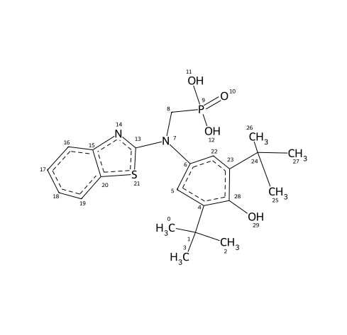 CC(C)(C)c1cc(N(CP(=O)(O)O)c2nc3ccccc3s2)cc(C(C)(C)C)c1O